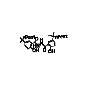 CCCCCC(C)(C)c1ccc(O)c(C(=O)NNC(=O)c2cc(C(C)(C)CCCCC)ccc2O)c1